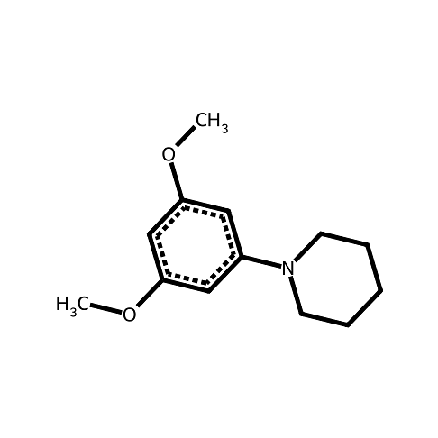 COc1cc(OC)cc(N2CCCCC2)c1